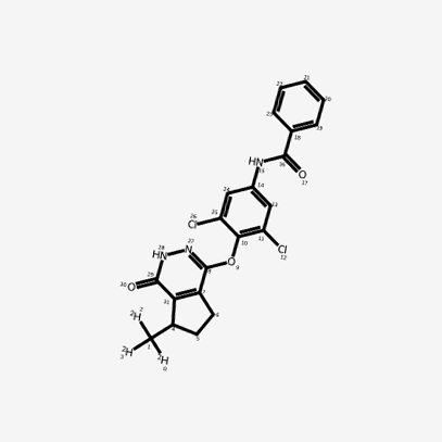 [2H]C([2H])([2H])C1CCc2c(Oc3c(Cl)cc(NC(=O)c4ccccc4)cc3Cl)n[nH]c(=O)c21